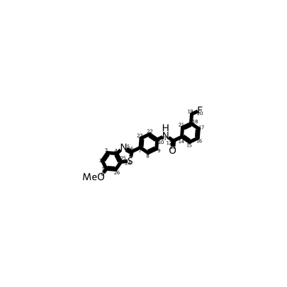 COc1ccc2nc(-c3ccc(NC(=O)c4cccc(CF)c4)cc3)sc2c1